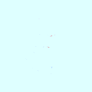 CC(=O)Nc1cc2c(ncn2[C@@H]2O[C@H](COP(=O)(O)O)[C@@H](O)[C@H]2O)c(=O)[nH]1